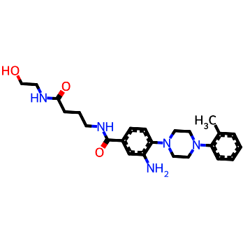 Cc1ccccc1N1CCN(c2ccc(C(=O)NCCCC(=O)NCCO)cc2N)CC1